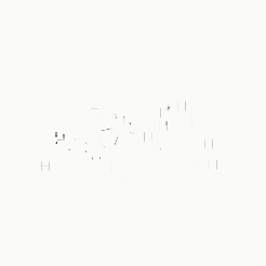 C=c1c2cc3c(=C)n(CC(C)CC)c(=C)c3cc2c(=C)n1CCC[PH](=C)CCC(C)(CC)CC(C)CC